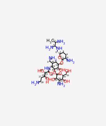 CC(N)C(N)NC[C@@H]1CCC(N)[C@@H](OC2CC(CN)[C@@H](NC(=O)[C@@H](O)[C@@H](O)CCN)C(O[C@H]3OC(CO)C(O)[C@H](N)C3O)C2O)O1